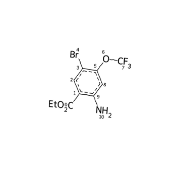 CCOC(=O)c1cc(Br)c(OC(F)(F)F)cc1N